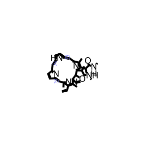 C=CC1=C(C)C2(C=C)NC1(C)/C=C1/C=CC(=N1)/C=c1/cc/c([nH]1)=C/C1=NC(C(C)C(=O)NC)(C(C(C)C(=O)NC)=C1C)C2C